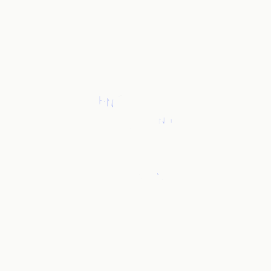 [CH]1NCCc2[nH]c3cnccc3c21